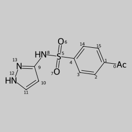 CC(=O)c1ccc(S(=O)(=O)Nc2cc[nH]n2)cc1